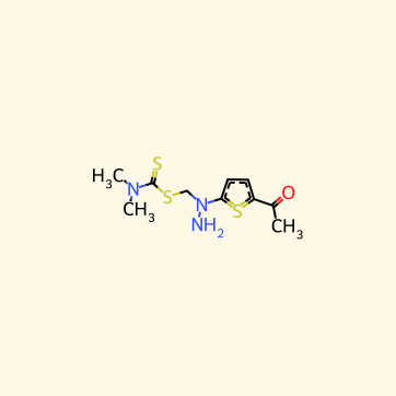 CC(=O)c1ccc(N(N)CSC(=S)N(C)C)s1